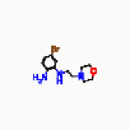 Nc1ccc(Br)cc1NCCN1CCOCC1